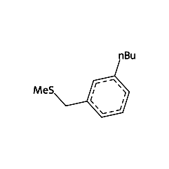 CCCCc1cccc(CSC)c1